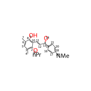 CCCOc1c(C)cc(C)c(O)c1/C=C/C(=O)c1ccc(NC)cc1